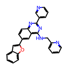 c1ccc(CNc2nc(-c3cccnc3)nc3ccc(-c4cc5ccccc5o4)cc23)nc1